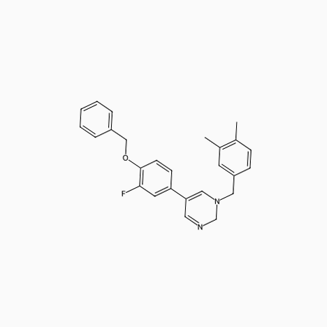 Cc1ccc(CN2C=C(c3ccc(OCc4ccccc4)c(F)c3)C=NC2)cc1C